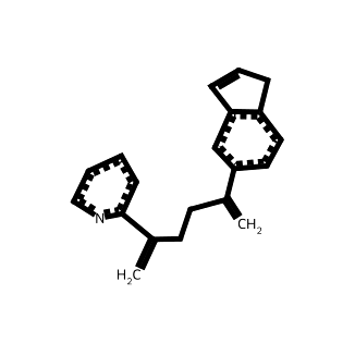 C=C(CCC(=C)c1ccccn1)c1ccc2c(c1)C=CC2